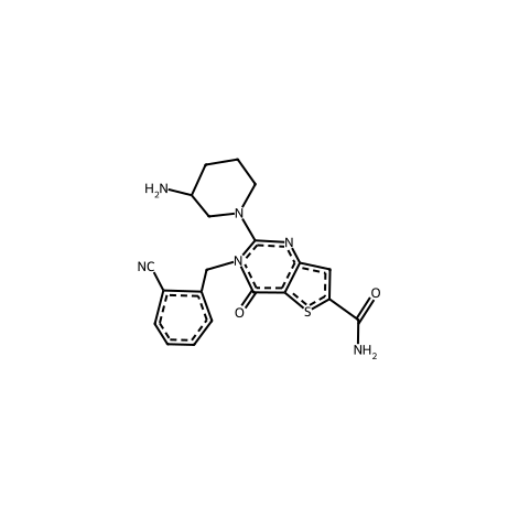 N#Cc1ccccc1Cn1c(N2CCCC(N)C2)nc2cc(C(N)=O)sc2c1=O